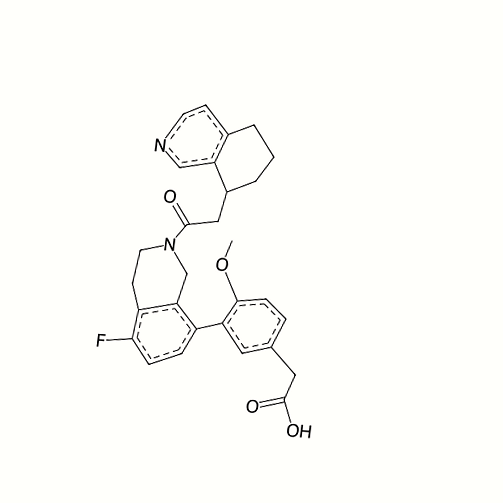 COc1ccc(CC(=O)O)cc1-c1ccc(F)c2c1CN(C(=O)CC1CCCc3ccncc31)CC2